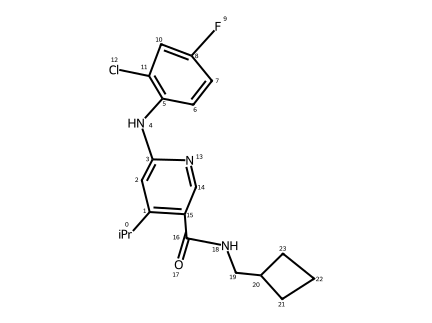 CC(C)c1cc(Nc2ccc(F)cc2Cl)ncc1C(=O)NCC1CCC1